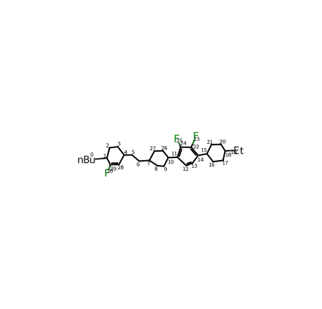 CCCCC1CCC(CCC2CCC(c3ccc(C4CCC(CC)CC4)c(F)c3F)CC2)C=C1F